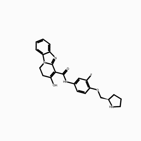 O=C(Nc1ccc(OC[C@H]2CCCN2)c(F)c1)C1=C(O)CCn2c1nc1ccccc12